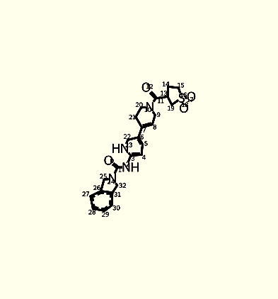 O=C(NC1=CC=C(C2=CCN(C(=O)C3CCS(=O)(=O)C3)CC2)CN1)N1Cc2ccccc2C1